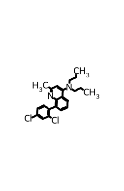 CCCN(CCC)c1cc(C)nc2c(-c3ccc(Cl)cc3Cl)cccc12